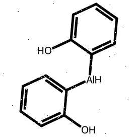 Oc1cccc[c]1[AlH][c]1ccccc1O